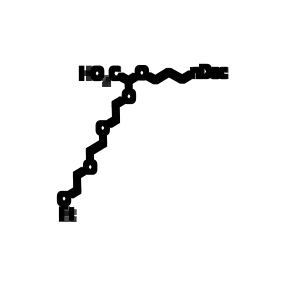 CCCCCCCCCCCCCOC(OCCOCCOCCOCC)C(=O)O